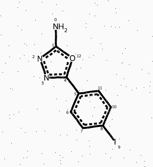 Nc1nnc(-c2ccc(I)cc2)o1